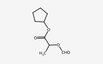 CC(OC=O)C(=O)OC1CCCC1